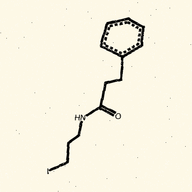 O=C(CCc1ccccc1)NCCCI